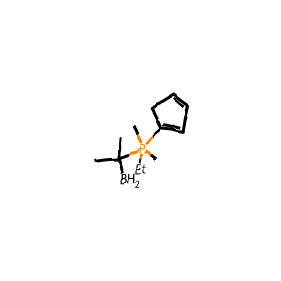 BC(C)(C)P(C)(C)(CC)C1=CC=CC1